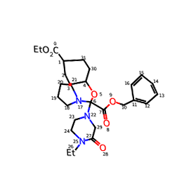 CCOC(=O)C1CCC(OC(C(=O)OCc2ccccc2)(N2CCCC2)N2CCN(CC)C(=O)C2)CC1